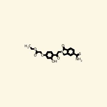 CCOC(=O)COc1ccc(C(=O)CN2Cc3cc(C(N)=S)ccc3C2=O)c(O)c1